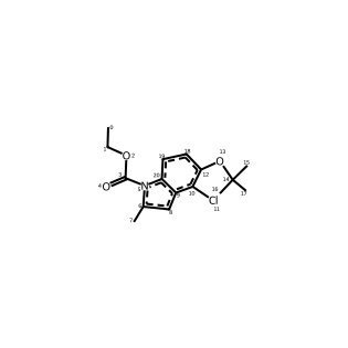 CCOC(=O)n1c(C)cc2c(Cl)c(OC(C)(C)C)ccc21